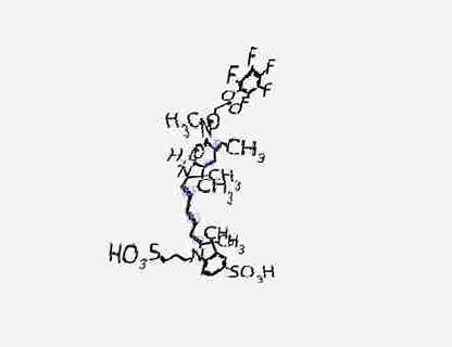 C=C1N=C(/C=C/C=C/C=C2/N(CCCS(=O)(=O)O)c3ccc(S(=O)(=O)O)cc3C2(C)C)C(C)(C)/C1=C/C(=C\C)C(=O)N(C)OCC(=O)Oc1c(F)c(F)c(F)c(F)c1F